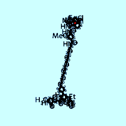 CCN(c1cc(-c2ccc(OCCOCCOCCOCCOCCOCCNC(=O)c3ccc(NC(=O)[C@@H]4NC(CC(C)(C)C)[C@](C#N)(c5ccc(Cl)cc5F)C4c4cccc(Cl)c4F)c(OC)c3)cc2)cc(C(=O)NCc2c(C)cc(C)[nH]c2=O)c1C)C1CCOCC1